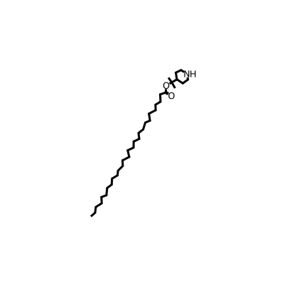 CCCCCCCCCCCCCCCCCCCCCCCCCCCC(=O)OC(C)(C)C1CCNCC1